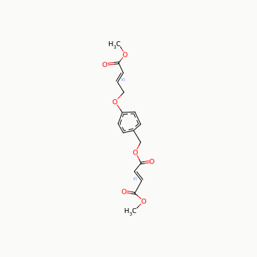 COC(=O)/C=C/COc1ccc(COC(=O)/C=C/C(=O)OC)cc1